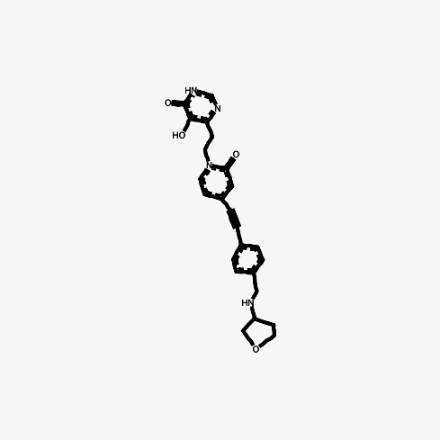 O=c1[nH]cnc(CCn2ccc(C#Cc3ccc(CNC4CCOC4)cc3)cc2=O)c1O